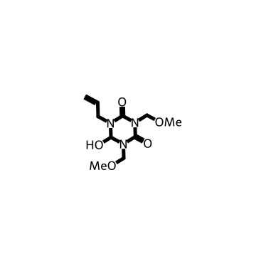 C=CCN1C(=O)N(COC)C(=O)N(COC)C1O